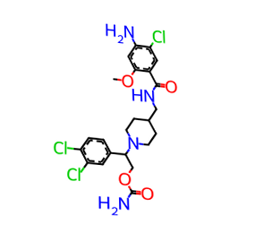 COc1cc(N)c(Cl)cc1C(=O)NCC1CCN(C(COC(N)=O)c2ccc(Cl)c(Cl)c2)CC1